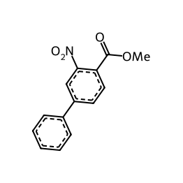 COC(=O)c1ccc(-c2ccccc2)cc1[N+](=O)[O-]